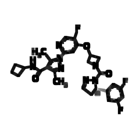 Cc1nn(-c2cc(OC3CN(C(=O)N4N=CC[C@H]4c4cc(F)cc(F)c4)C3)c(F)cn2)c(C)c1C(=O)NC1CCC1